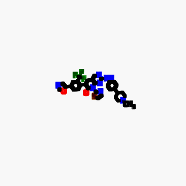 CN1CCC(c2ccc(Nc3ncc4cc(-c5ccc(-c6cnco6)cc5C(F)(F)F)c(=O)n(-c5nccs5)c4n3)cc2)CC1